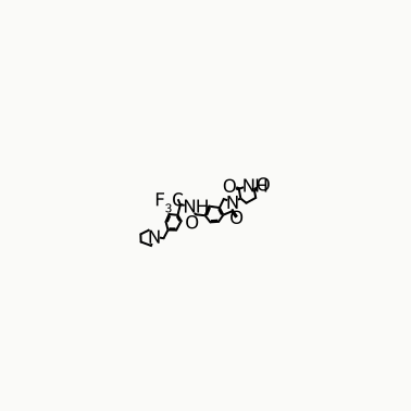 O=C1CCC(N2Cc3cc(C(=O)NC(c4ccc(CN5CCCC5)cc4)C(F)(F)F)ccc3C2=O)C(=O)N1